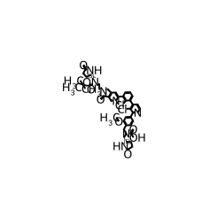 COc1cc(-c2nccc(-c3cccc(-c4cc5c(cn4)C(=O)N(CCN(C[C@@H]4CCC(=O)N4)C(=O)OC(C)(C)C)C5)c3Cl)c2Cl)ccc1CN(C[C@@H]1CCC(=O)N1)C(=O)O